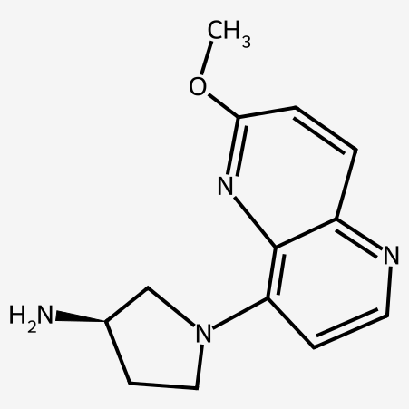 COc1ccc2nccc(N3CC[C@@H](N)C3)c2n1